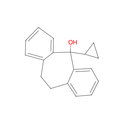 OC1(C2CC2)c2ccccc2CCc2ccccc21